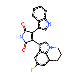 O=C1NC(=O)C(c2cn3c4c(cc(F)cc24)CCC3)=C1c1c[nH]c2ccccc12